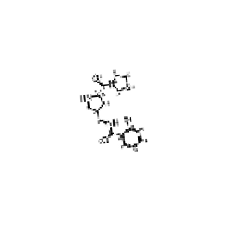 O=C(NCC1CN[C@H](C(=O)N2CCSC2)C1)c1ccccc1Br